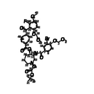 COCOc1ccc(C(=O)N[C@@H]2CN(OC(=O)OC(C)(C)C)CCC[C@H]2OC(=O)c2ccc(C(=O)c3c(OCOC)ccc(OC)c3F)cc2)cc1Br